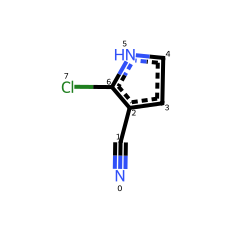 N#Cc1cc[nH]c1Cl